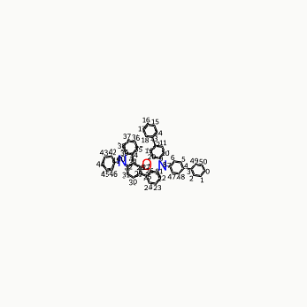 c1ccc(-c2ccc(N(c3ccc(-c4ccccc4)cc3)c3cccc4c3oc3c4ccc4c3c3ccccc3n4-c3ccccc3)cc2)cc1